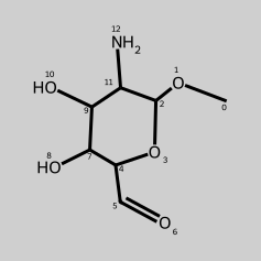 COC1OC(C=O)C(O)C(O)C1N